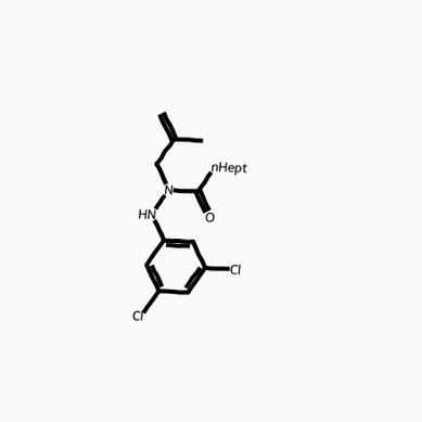 C=C(C)CN(Nc1cc(Cl)cc(Cl)c1)C(=O)CCCCCCC